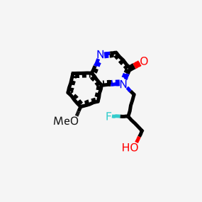 COc1ccc2ncc(=O)n(CC(F)CO)c2c1